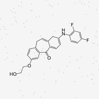 O=C1C2=CC=C(Nc3ccc(F)cc3F)CC2=CCc2ccc(OCCO)cc21